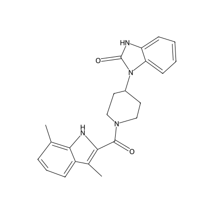 Cc1c(C(=O)N2CCC(n3c(=O)[nH]c4ccccc43)CC2)[nH]c2c(C)cccc12